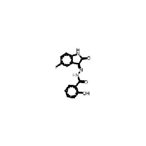 O=C1Nc2ccc(I)cc2/C1=N\NC(=O)c1ccccc1O